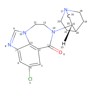 O=C1c2cc(Cl)cc3ncn(c23)CCN1[C@@H]1CN2CCC1CC2